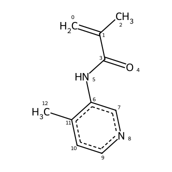 C=C(C)C(=O)Nc1cnccc1C